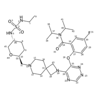 CCNS(=O)(=O)N[C@@H]1CC[C@@H](CN2CCC3(CC2)CN(c2ncnnc2Oc2ccc(F)cc2C(=O)N(C(C)C)C(C)C)C3)OC1